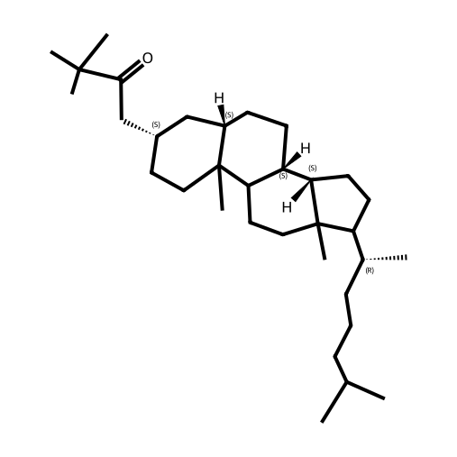 CC(C)CCC[C@@H](C)C1CC[C@H]2[C@H]3CC[C@H]4C[C@@H](CC(=O)C(C)(C)C)CCC4(C)C3CCC12C